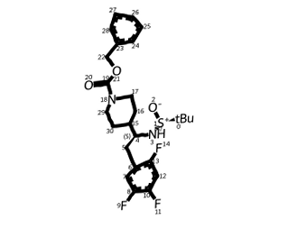 CC(C)(C)[S@+]([O-])N[C@@H](Cc1cc(F)c(F)cc1F)C1CCN(C(=O)OCc2ccccc2)CC1